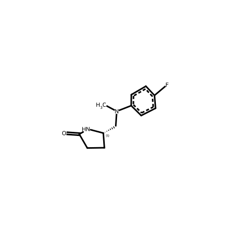 CN(C[C@@H]1CCC(=O)N1)c1ccc(F)cc1